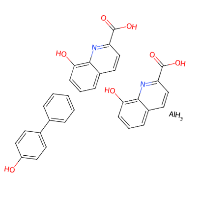 O=C(O)c1ccc2cccc(O)c2n1.O=C(O)c1ccc2cccc(O)c2n1.Oc1ccc(-c2ccccc2)cc1.[AlH3]